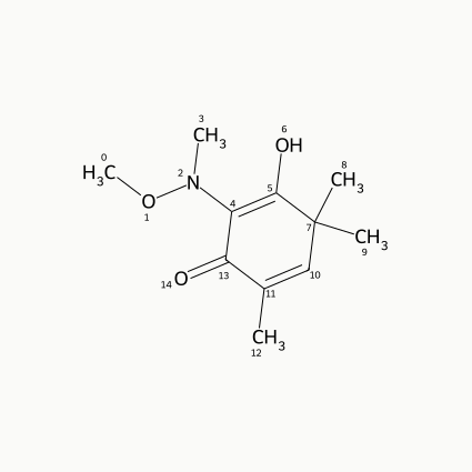 CON(C)C1=C(O)C(C)(C)C=C(C)C1=O